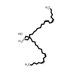 CCCCC/C=C\C/C=C\CCCCCCCCC1(CCCCCCCC/C=C\C/C=C\CCCCC)CN(C)C1.Cl